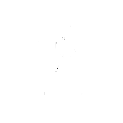 O=C1O[C@H](c2cc(C(F)(F)F)cc(C(F)(F)F)c2)[C@@H]2CC[C@@H](c3nc(C(F)(F)F)ccc3Cl)N12